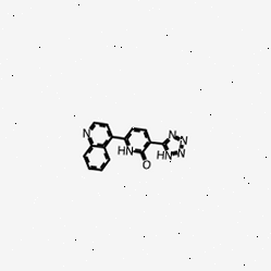 O=c1[nH]c(-c2ccnc3ccccc23)ccc1-c1nnn[nH]1